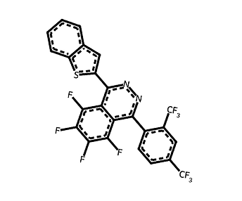 Fc1c(F)c(F)c2c(-c3ccc(C(F)(F)F)cc3C(F)(F)F)nnc(-c3cc4ccccc4s3)c2c1F